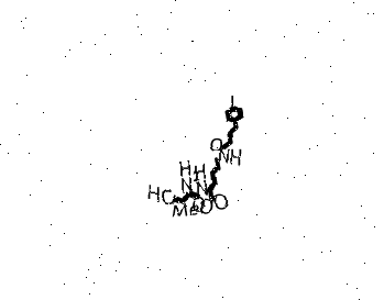 C#CCC(N)C(=O)NC(CCCCNC(=O)CCCc1ccc(I)cc1)C(=O)OC